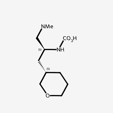 CNC[C@H](C[C@@H]1CCCOC1)NC(=O)O